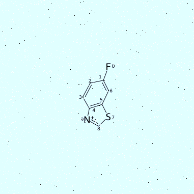 Fc1ccc2c(c1)SC=[N+]2